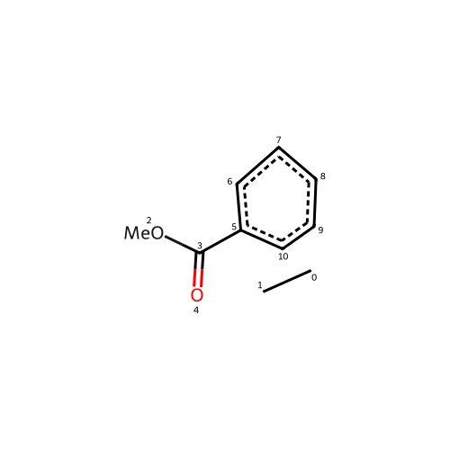 CC.COC(=O)c1ccccc1